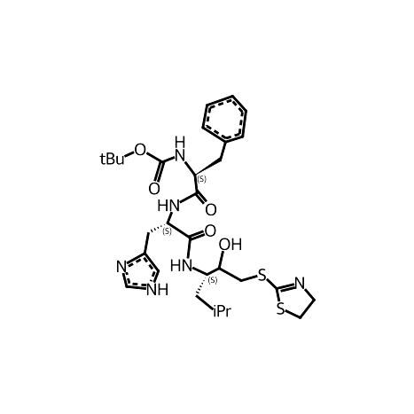 CC(C)C[C@H](NC(=O)[C@H](Cc1c[nH]cn1)NC(=O)[C@H](Cc1ccccc1)NC(=O)OC(C)(C)C)C(O)CSC1=NCCS1